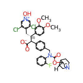 COc1ccc([C@@H](Cc2c(Cl)c[n+](O)cc2Cl)C(C(=O)[O-])c2ccc(CN(C(=O)O[C@H]3CN4CCC3CC4)c3ccccc3F)cc2)cc1OC